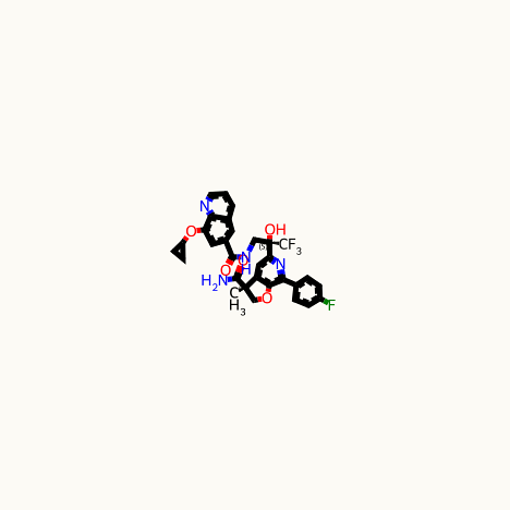 C[C@]1(C(N)=O)COc2c1cc([C@@](O)(CNC(=O)c1cc(OC3CC3)c3ncccc3c1)C(F)(F)F)nc2-c1ccc(F)cc1